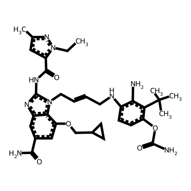 CCn1nc(C)cc1C(=O)Nc1nc2cc(C(N)=O)cc(OCC3CC3)c2n1CC=CCNc1ccc(OC(N)=O)c(C(C)(C)C)c1N